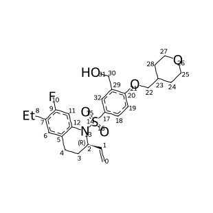 C=C[C@H]1CCc2cc(CC)c(F)cc2N1S(=O)(=O)c1ccc(OCC2CCOCC2)c(CO)c1